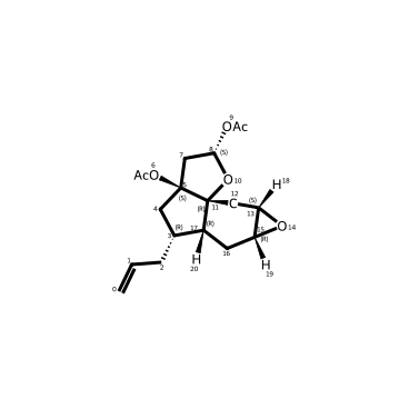 C=CC[C@@H]1C[C@]2(OC(C)=O)C[C@H](OC(C)=O)O[C@@]23C[C@@H]2O[C@@H]2C[C@H]13